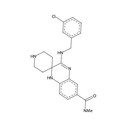 CNC(=O)c1ccc2c(c1)N=C(NCc1cccc(Cl)c1)C1(CCNCC1)N2